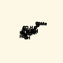 COC(=O)OCCOCCNC(=S)Nc1ccc(C[C@H]2CN(CC(=O)O)CCN(CC(=O)O)Cc3cccc(n3)CN2CC(O)O)cc1